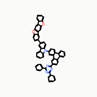 c1ccc(-c2nc(-c3ccccc3)nc(-c3ccc4c5ccccc5c5ccc(-n6c7ccccc7c7cc(-c8ccc9oc%10cc%11c(cc%10c9c8)oc8ccccc8%11)ccc76)cc5c4c3)n2)cc1